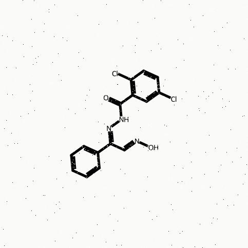 O=C(NN=C(C=NO)c1ccccc1)c1cc(Cl)ccc1Cl